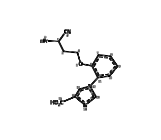 CCCC(C#N)CCOc1ccccc1-n1cnc(C(=O)O)c1